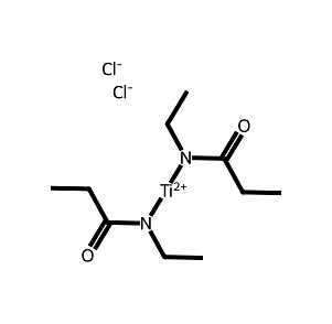 CCC(=O)[N](CC)[Ti+2][N](CC)C(=O)CC.[Cl-].[Cl-]